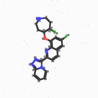 Fc1cc(O[C@H]2CCNCC[C@H]2F)c2nc(-c3nnc4ccccn34)ccc2c1